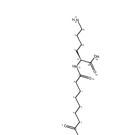 CC(=O)CCCCCCC(=O)N[C@@H](CCCCN)C(=O)O